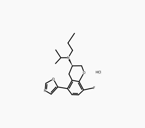 CCCN(C(C)C)[C@H]1COc2c(F)ccc(-c3cnco3)c2C1.Cl